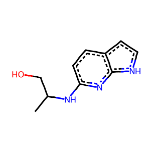 CC(CO)Nc1ccc2cc[nH]c2n1